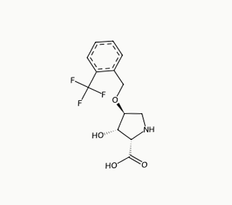 O=C(O)[C@H]1NC[C@H](OCc2ccccc2C(F)(F)F)[C@H]1O